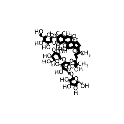 CC[C@@]12CCC([C@H](C)CC[C@@H](O[C@@H]3O[C@H](CO[C@H]4O[C@H](CO)[C@@H](O)[C@H](O)[C@H]4O)[C@@H](O)[C@H](O)[C@H]3O[C@@H]3O[C@H](CO)[C@@H](O)[C@H](O)[C@H]3O)C(C)(C)O)[C@@]1(C)C[C@@H](O)[C@@]1(C)C3CC[C@H](O[C@@H]4O[C@H](CO)[C@@H](O)[C@H](O)[C@H]4O)C(C)(C)C3=CC(=O)C12